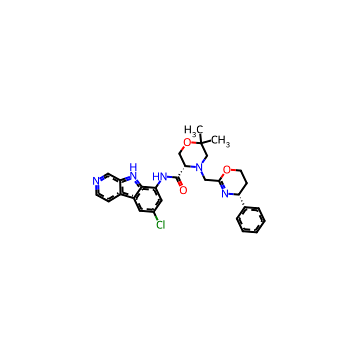 CC1(C)CN(CC2=N[C@@H](c3ccccc3)CCO2)[C@H](C(=O)Nc2cc(Cl)cc3c2[nH]c2cnccc23)CO1